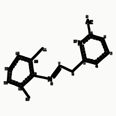 CC(=O)c1cccc(CC=Nc2c(C)cccc2C)n1